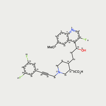 COc1ccc2ncc(F)c(C(O)CCC3CCN(CC#Cc4cc(F)cc(F)c4)CC3C(=O)O)c2c1